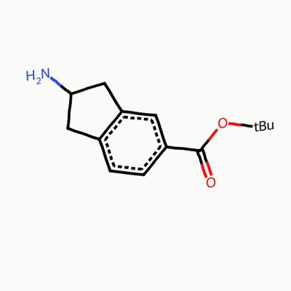 CC(C)(C)OC(=O)c1ccc2c(c1)CC(N)C2